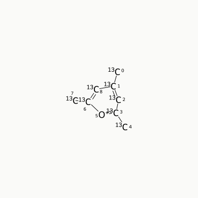 [13CH3][13c]1[13cH][13c]([13CH3])[o+][13c]([13CH3])[13cH]1